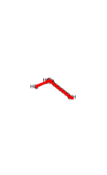 CCCCNC(=O)COCCOCCOCCOCCOCCOCCOCCOCCOCCOCCOCCOCCNC(=O)CC[C@H](NC(=O)CCCCCCCCCCCCCCCCCCCCC(=O)O)C(=O)O